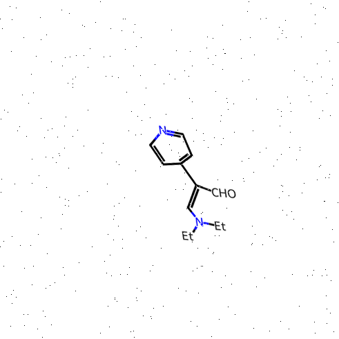 CCN(/C=C(\C=O)c1ccncc1)CC